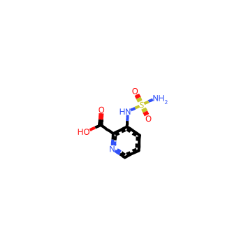 NS(=O)(=O)Nc1cccnc1C(=O)O